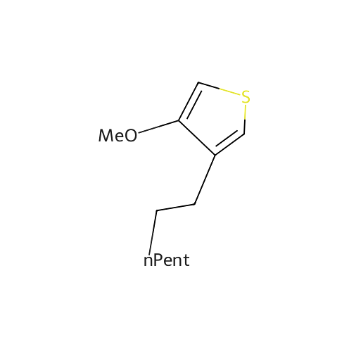 CCCCCCCc1cscc1OC